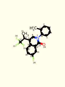 Cc1ccccc1-n1cc(C(C)C(F)(F)F)c2ccc(F)cc2c1=O